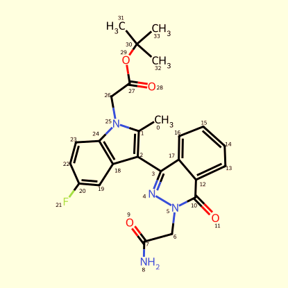 Cc1c(-c2nn(CC(N)=O)c(=O)c3ccccc23)c2cc(F)ccc2n1CC(=O)OC(C)(C)C